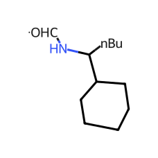 CCCCC(N[C]=O)C1CCCCC1